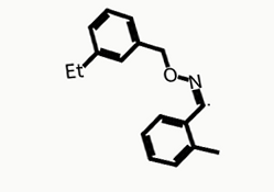 CCc1cccc(CO/N=[C]\c2ccccc2C)c1